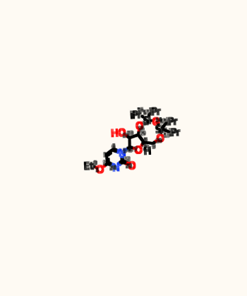 CCOc1ccn([C@@H]2O[C@@H]3CO[Si](C(C)C)(C(C)C)O[Si](C(C)C)(C(C)C)OC3C2O)c(=O)n1